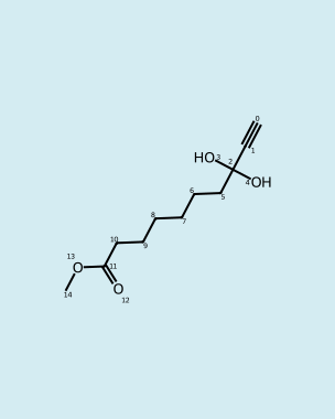 C#CC(O)(O)CCCCCCC(=O)OC